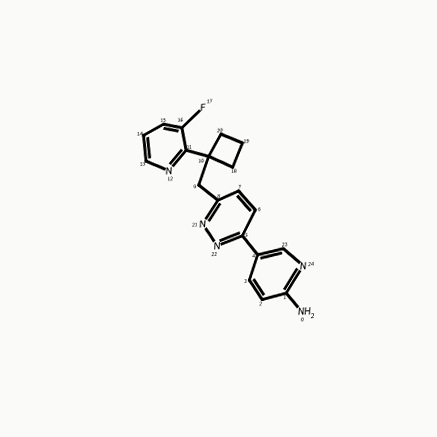 Nc1ccc(-c2ccc(CC3(c4ncccc4F)CCC3)nn2)cn1